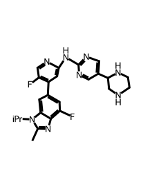 Cc1nc2c(F)cc(-c3cc(Nc4ncc(C5CNCCN5)cn4)ncc3F)cc2n1C(C)C